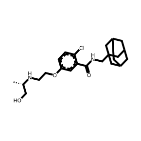 C[C@@H](CO)NCCOc1ccc(Cl)c(C(=O)NCC23CC4CC(CC(C4)C2)C3)c1